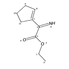 CCOC(=O)C(=N)C1=CCCC1